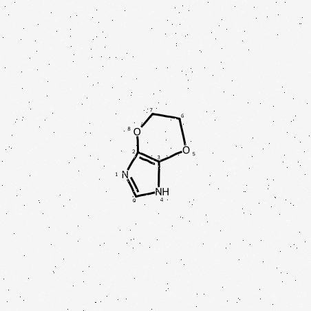 [c]1nc2c([nH]1)OCCO2